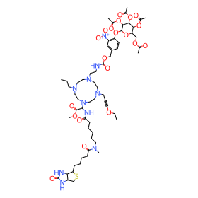 CCCN1CCN(CCNC(=O)OCc2ccc(OC3OC(COC(C)=O)C(OC(C)=O)C(OC(C)=O)C3OC(C)=O)c([N+](=O)[O-])c2)CCN(CC#COCC)CCN(C(NC(=O)CCCCCN(C)C(=O)CCCCC2SCC3NC(=O)NC32)C(=O)OC)CC1